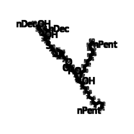 CCCCC/C=C\C/C=C\CCCCCC[C@@H](O)CN(CCCCC(=O)OCCN1CCN(CCSSCCCN(CC(O)CCCCCCCCCC)CC(O)CCCCCCCCCC)CC1)C[C@H](O)CCCCCC/C=C\C/C=C\CCCCC